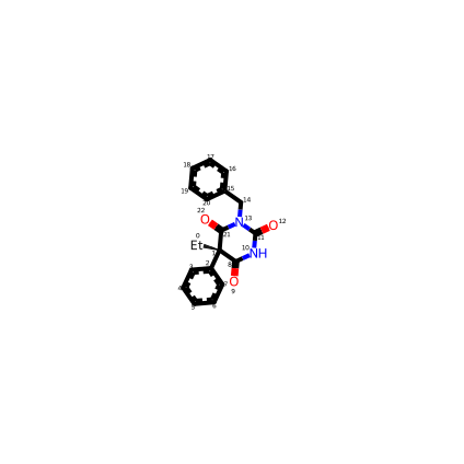 CC[C@]1(c2ccccc2)C(=O)NC(=O)N(Cc2ccccc2)C1=O